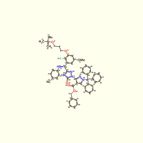 COc1cc(OCCCO[Si](C)(C)C(C)(C)C)c(F)c([C@H](Nc2ccc(C#N)cc2)c2nn(-c3nn(C(c4ccccc4)(c4ccccc4)c4ccccc4)cc3C(=O)OCc3ccccc3)c(=O)[nH]2)c1